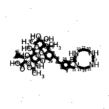 CCC1CC(CCc2ccc(CN3CCCNCCNCCCNCC3)c(Br)c2)CC(OC2OC(CO)C(O)C(O[C@@H](CC3CC3)C(=O)O)C2NC(C)=O)C1OC1OC(C)C(O)C(O)C1O